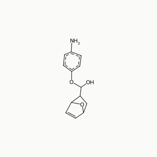 Nc1ccc(OC(O)C2CC3C=CC2O3)cc1